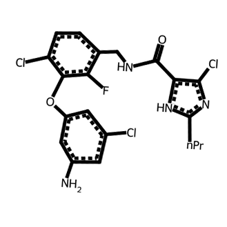 CCCc1nc(Cl)c(C(=O)NCc2ccc(Cl)c(Oc3cc(N)cc(Cl)c3)c2F)[nH]1